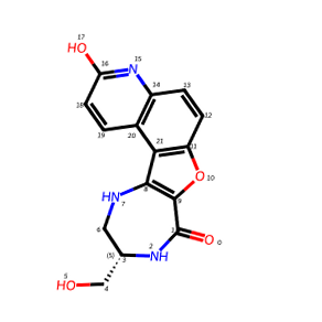 O=C1N[C@H](CO)CNc2c1oc1ccc3nc(O)ccc3c21